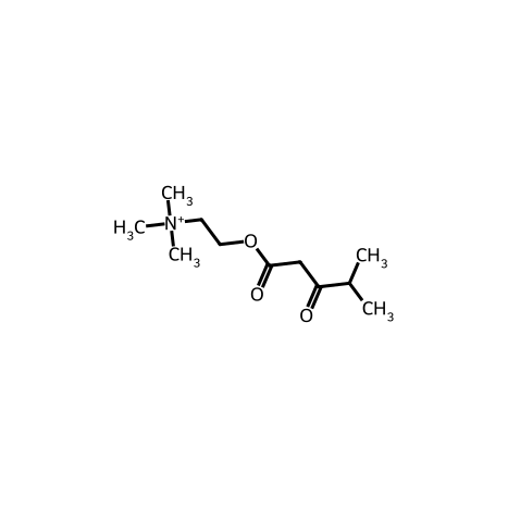 CC(C)C(=O)CC(=O)OCC[N+](C)(C)C